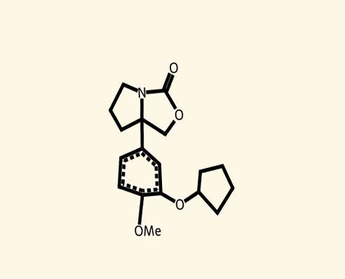 COc1ccc(C23CCCN2C(=O)OC3)cc1OC1CCCC1